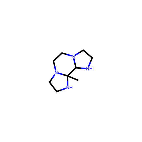 CC12NCCN1CCN1CCNC12